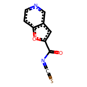 O=C(N=C=S)c1cc2cnccc2o1